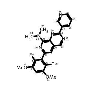 COc1cc(OC)c(F)c(-c2cc3cnc(-c4cccnc4)nc3c(N(C)C)n2)c1F